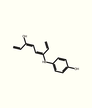 C=C/C(Bc1ccc(O)cc1)=C\C=C(\O)C=C